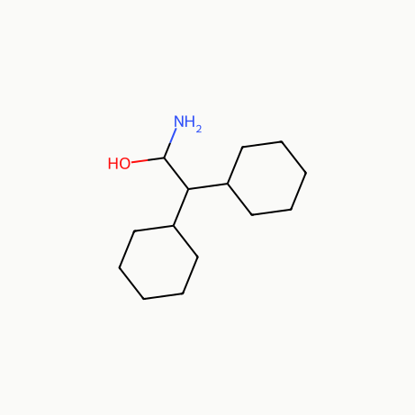 NC(O)C(C1CCCCC1)C1CCCCC1